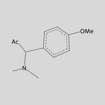 COc1ccc(C(C(C)=O)N(C)C)cc1